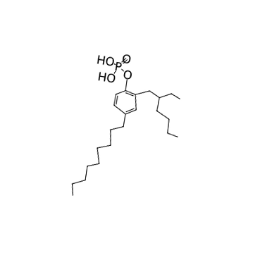 CCCCCCCCCc1ccc(OP(=O)(O)O)c(CC(CC)CCCC)c1